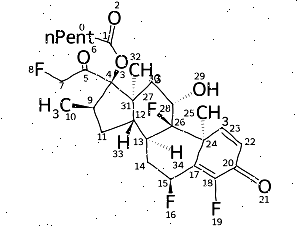 CCCCCC(=O)O[C@]1(C(=O)CF)[C@H](C)C[C@H]2[C@@H]3C[C@H](F)C4=C(F)C(=O)C=C[C@]4(C)[C@@]3(F)[C@@H](O)C[C@@]21C